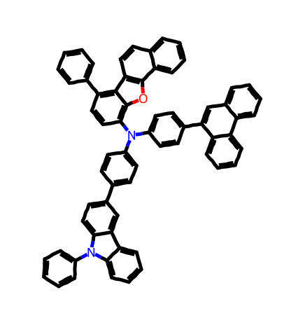 c1ccc(-c2ccc(N(c3ccc(-c4ccc5c(c4)c4ccccc4n5-c4ccccc4)cc3)c3ccc(-c4cc5ccccc5c5ccccc45)cc3)c3oc4c5ccccc5ccc4c23)cc1